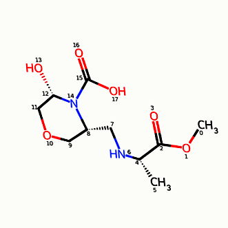 COC(=O)[C@H](C)NC[C@@H]1COC[C@H](O)N1C(=O)O